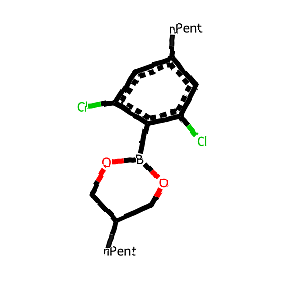 CCCCCc1cc(Cl)c(B2OCC(CCCCC)CO2)c(Cl)c1